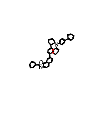 C1=CC(N(c2ccc(-c3ccccc3)cc2)C2CC=CCC2c2ccc(-c3ccc4ccc5nc(-c6ccccc6)oc5c4c3)cc2)=CCC1